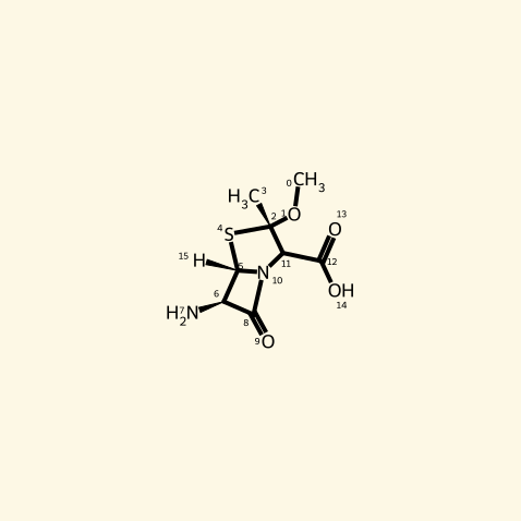 CO[C@@]1(C)S[C@H]2[C@H](N)C(=O)N2C1C(=O)O